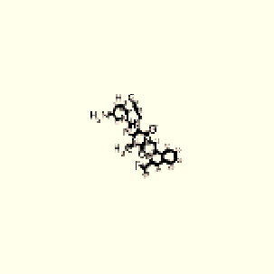 CC#CCn1c(N2CCCC(N)C2)nc2c1c(=O)n(Cc1nc(C(F)F)cc3ccccc13)c(=O)n2C